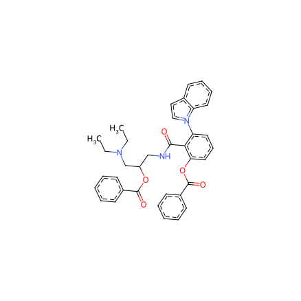 CCN(CC)CC(CNC(=O)c1c(OC(=O)c2ccccc2)cccc1-n1ccc2ccccc21)OC(=O)c1ccccc1